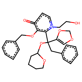 O=c1ccn(CCO)c(C(Cc2ccccc2)(OC2CCCCO2)C2=COCO2)c1OCc1ccccc1